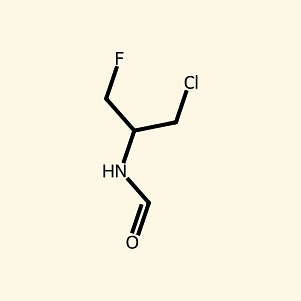 O=CNC(CF)CCl